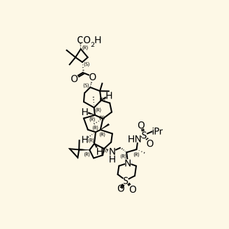 CC(C)S(=O)(=O)N[C@H](C)[C@@H](CN[C@]12CC[C@@H](C3(C)CC3)[C@@H]1[C@H]1CC[C@@H]3[C@@]4(C)CC[C@H](OC(=O)[C@H]5C[C@@H](C(=O)O)C5(C)C)C(C)(C)[C@@H]4CC[C@@]3(C)[C@]1(C)CC2)N1CCS(=O)(=O)CC1